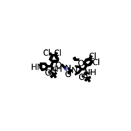 C=CCOc1cc(Cl)c(Cl)cc1C(N[S+]([O-])C(C)(C)C)C1CCN(C(=O)/N=C/COc2cc(Cl)c(Cl)cc2C(N[S+]([O-])C(C)(C)C)C2CCNCC2)CC1